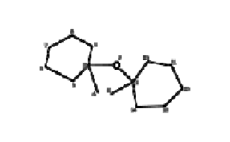 CC1(OC2(C)CCCCC2)CCCCC1